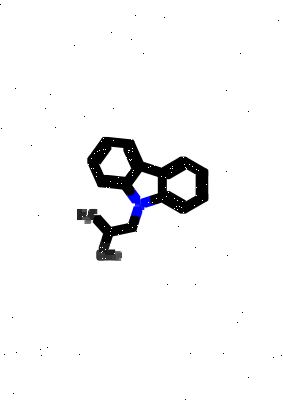 COC(C)Cn1c2ccccc2c2ccccc21